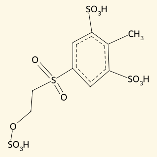 Cc1c(S(=O)(=O)O)cc(S(=O)(=O)CCOS(=O)(=O)O)cc1S(=O)(=O)O